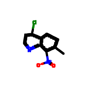 Cc1ccc2c(Cl)ccnc2c1[N+](=O)[O-]